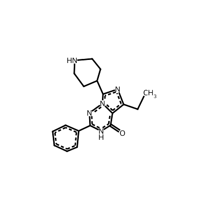 CCc1nc(C2CCNCC2)n2nc(-c3ccccc3)[nH]c(=O)c12